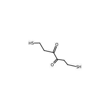 O=C(CCS)C(=O)CCS